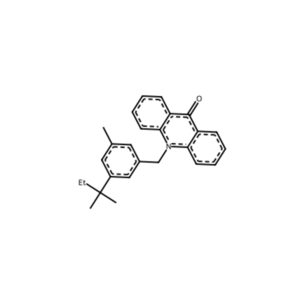 CCC(C)(C)c1cc(C)cc(Cn2c3ccccc3c(=O)c3ccccc32)c1